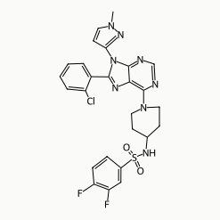 Cn1ccc(-n2c(-c3ccccc3Cl)nc3c(N4CCC(NS(=O)(=O)c5ccc(F)c(F)c5)CC4)ncnc32)n1